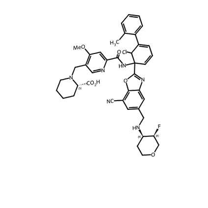 COc1cc(C(=O)NC2(c3nc4cc(CN[C@@H]5CCOC[C@@H]5F)cc(C#N)c4o3)C=CC=C(c3ccccc3C)C2Cl)ncc1CN1CCCC[C@H]1C(=O)O